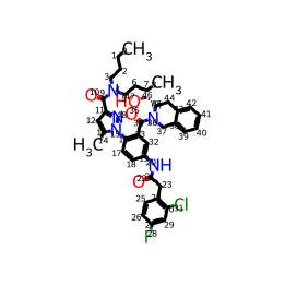 CCCCN(CCCC)C(=O)c1cc(C)n(-c2ccc(NC(=O)Cc3ccc(F)cc3Cl)cc2C(=O)N2Cc3ccccc3C[C@H]2CO)n1